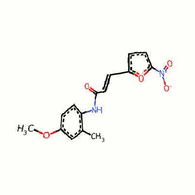 COc1ccc(NC(=O)C=Cc2ccc([N+](=O)[O-])o2)c(C)c1